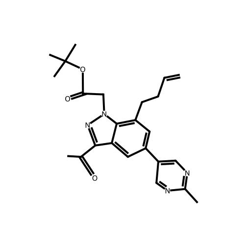 C=CCCc1cc(-c2cnc(C)nc2)cc2c(C(C)=O)nn(CC(=O)OC(C)(C)C)c12